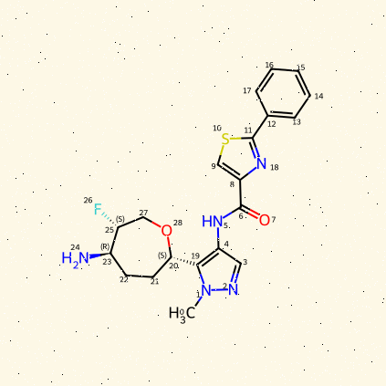 Cn1ncc(NC(=O)c2csc(-c3ccccc3)n2)c1[C@@H]1CC[C@@H](N)[C@H](F)CO1